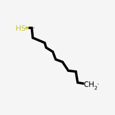 [CH2]CCCCCCCCC[CH]S